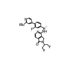 C[C@H](Nc1nccc2c1CN(C(CF)CF)C2=O)c1ccc(-c2ccnc(C(C)(C)C)c2)c(F)c1